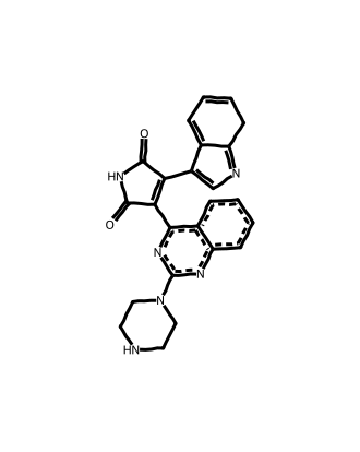 O=C1NC(=O)C(c2nc(N3CCNCC3)nc3ccccc23)=C1C1=CN=C2CC=CC=C12